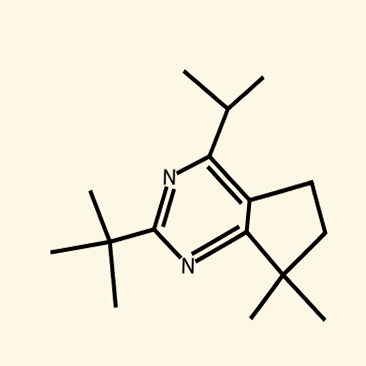 CC(C)c1nc(C(C)(C)C)nc2c1CCC2(C)C